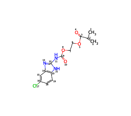 C=C(C)C(=O)OCCOC(=O)Nc1nc2cc(Cl)ccc2[nH]1